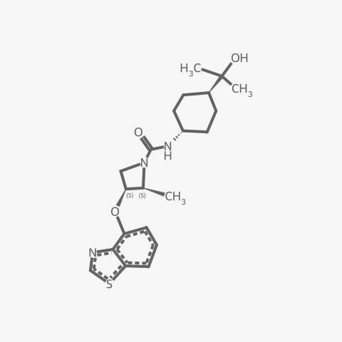 C[C@H]1[C@@H](Oc2cccc3scnc23)CN1C(=O)N[C@H]1CC[C@H](C(C)(C)O)CC1